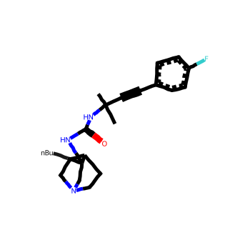 CCCCC1(NC(=O)NC(C)(C)C#Cc2ccc(F)cc2)CN2CCC1CC2